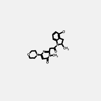 CC1Cc2c(Cl)cccc2N1C(=O)Cc1nc(N2CCOCC2)cc(=O)n1C